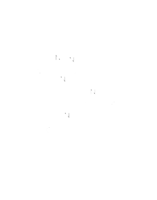 CSc1nnc2n1-c1ccc(Cl)nc1C(c1ccccc1Cl)=NC2